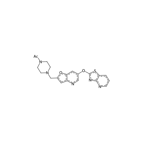 CC(=O)N1CCN(Cc2cc3ncc(Oc4nc5ncccc5s4)cc3o2)CC1